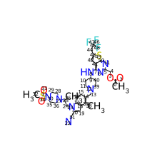 CC(=O)OCc1nc(NC2CCN(Cc3ccc4c(cc(C#N)n4C[C@H](C)N4CCN(S(C)(=O)=O)CC4)c3C)CC2)c2cc(CC(F)(F)F)sc2n1